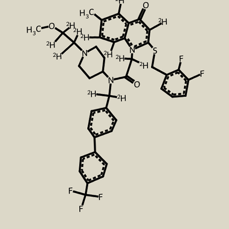 [2H]c1c(C)c([2H])c2c(=O)c([2H])c(SCc3cccc(F)c3F)n(C([2H])([2H])C(=O)N(C3CCN(C([2H])([2H])C([2H])([2H])OC)CC3)C([2H])([2H])c3ccc(-c4ccc(C(F)(F)F)cc4)cc3)c2c1[2H]